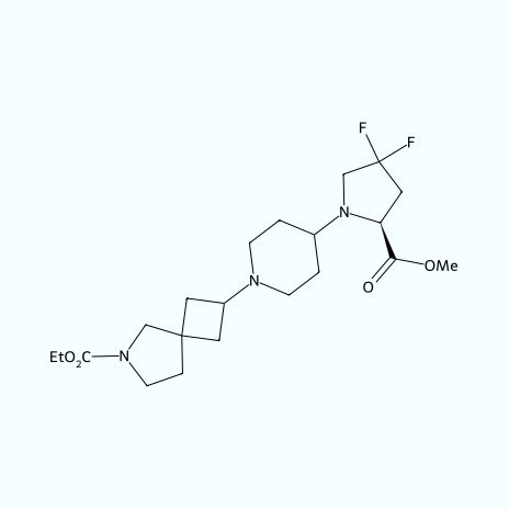 CCOC(=O)N1CCC2(CC(N3CCC(N4CC(F)(F)C[C@H]4C(=O)OC)CC3)C2)C1